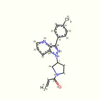 C=CC(=O)N1CCC(n2nc(-c3ccc(C(F)(F)F)cc3)c3ncccc32)C1